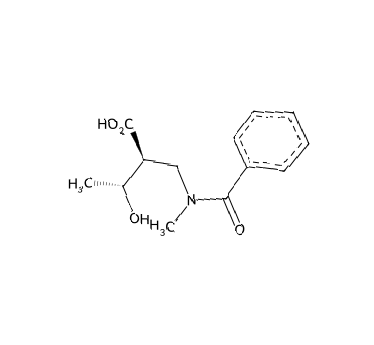 C[C@@H](O)[C@H](CN(C)C(=O)c1ccccc1)C(=O)O